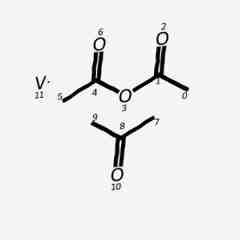 CC(=O)OC(C)=O.CC(C)=O.[V]